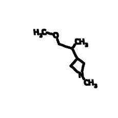 COCC(C)C1CN(C)C1